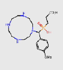 COc1ccc(C(N2CCNCCNCCNCC2)P(=O)(O)CCC(=O)O)cc1